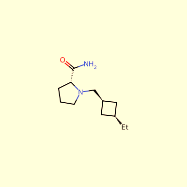 CC[C@H]1C[C@@H](CN2CCC[C@@H]2C(N)=O)C1